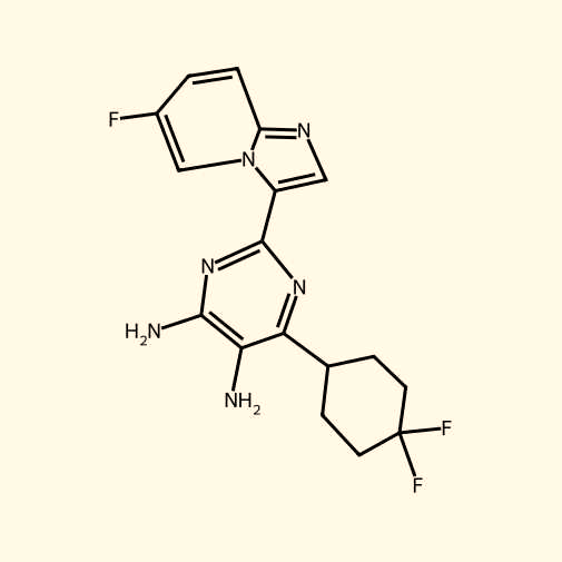 Nc1nc(-c2cnc3ccc(F)cn23)nc(C2CCC(F)(F)CC2)c1N